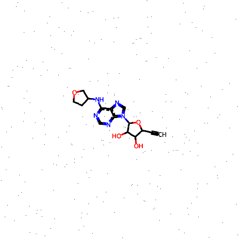 C#CC1OC(n2cnc3c(NC4CCOC4)ncnc32)C(O)C1O